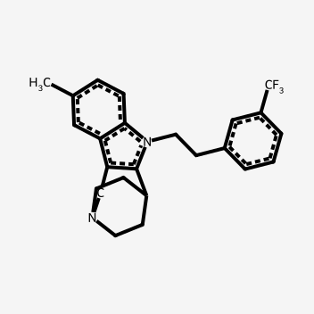 Cc1ccc2c(c1)c1c(n2CCc2cccc(C(F)(F)F)c2)C2CCN(CC2)C1